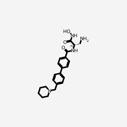 NC[C@H](NC(=O)c1ccc(-c2ccc(CN3CCCCC3)cc2)cc1)C(=O)NO